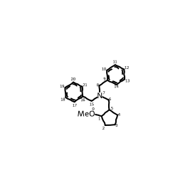 COC1CCCC1CN(Cc1ccccc1)Cc1ccccc1